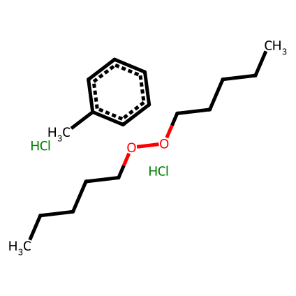 CCCCCOOCCCCC.Cc1ccccc1.Cl.Cl